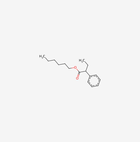 CCCCCCOC(=O)C(CC)c1ccccc1